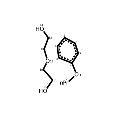 CCCOc1ccccc1.OCCOCCO